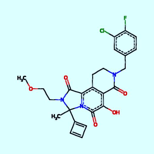 COCCN1C(=O)c2c3c(c(O)c(=O)n2C1(C)C1=CC=C1)C(=O)N(Cc1ccc(F)c(Cl)c1)CC3